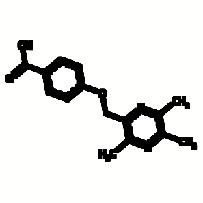 Cc1nc(C)c(COc2ccc(C(=O)O)cc2)nc1C